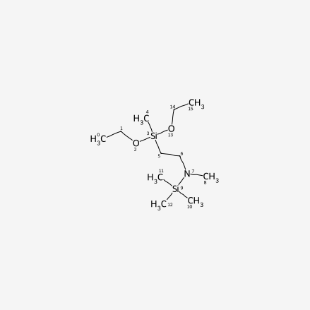 CCO[Si](C)(CCN(C)[Si](C)(C)C)OCC